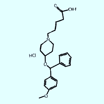 COc1ccc(C(OC2CCN(CCCCC(=O)O)CC2)c2ccccc2)cc1.Cl